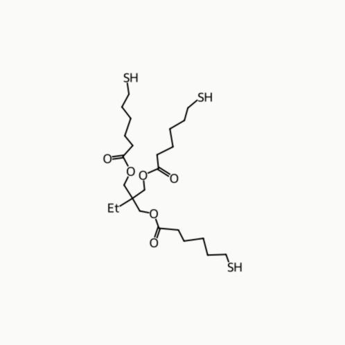 CCC(COC(=O)CCCCCS)(COC(=O)CCCCCS)COC(=O)CCCCCS